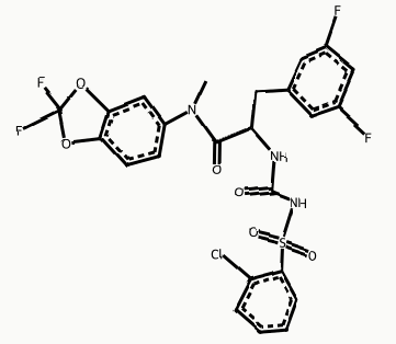 CN(C(=O)C(Cc1cc(F)cc(F)c1)NC(=O)NS(=O)(=O)c1ccccc1Cl)c1ccc2c(c1)OC(F)(F)O2